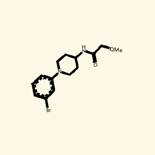 COCC(=O)NC1CCN(c2cccc(Br)c2)CC1